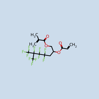 C=CC(=O)OC(COC(=O)C(=C)C)CC(F)(F)C(F)(F)C(F)(C(F)(F)F)C(F)(F)F